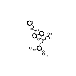 COc1cc(CCN(CCC(=O)O)C(=O)c2ccccc2-c2ccccc2C(=O)NCc2ccccn2)cc(OC)c1